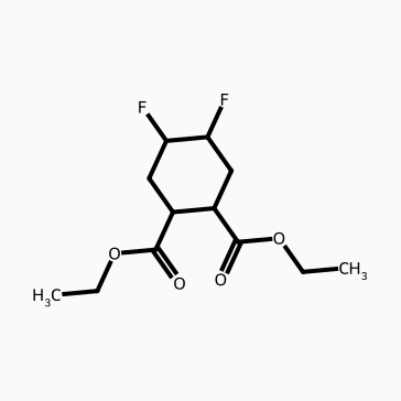 CCOC(=O)C1CC(F)C(F)CC1C(=O)OCC